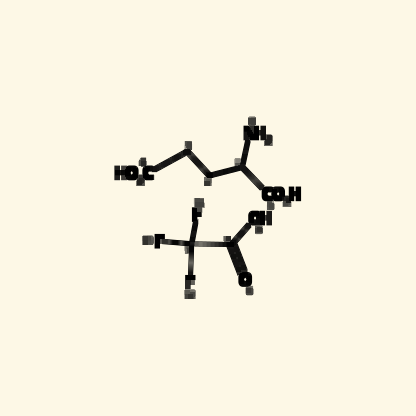 NC(CCC(=O)O)C(=O)O.O=C(O)C(F)(F)F